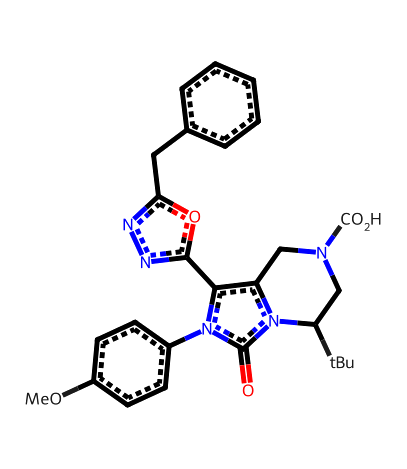 COc1ccc(-n2c(-c3nnc(Cc4ccccc4)o3)c3n(c2=O)C(C(C)(C)C)CN(C(=O)O)C3)cc1